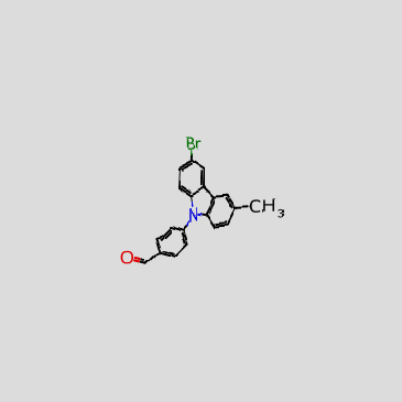 Cc1ccc2c(c1)c1cc(Br)ccc1n2-c1ccc(C=O)cc1